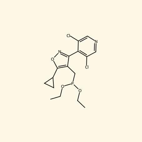 CCOP(Cc1c(-c2c(Cl)cncc2Cl)noc1C1CC1)OCC